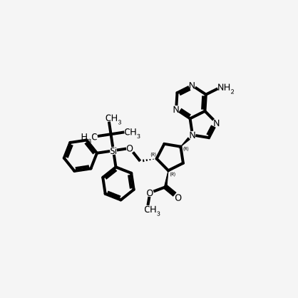 COC(=O)[C@@H]1C[C@H](n2cnc3c(N)ncnc32)C[C@H]1CO[Si](c1ccccc1)(c1ccccc1)C(C)(C)C